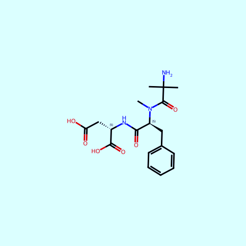 CN(C(=O)C(C)(C)N)[C@@H](Cc1ccccc1)C(=O)N[C@@H](CC(=O)O)C(=O)O